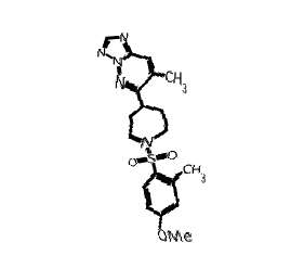 COc1ccc(S(=O)(=O)N2CCC(c3nn4ncnc4cc3C)CC2)c(C)c1